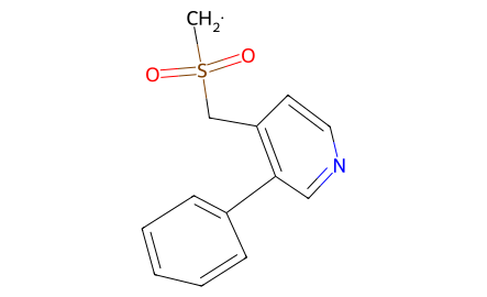 [CH2]S(=O)(=O)Cc1ccncc1-c1ccccc1